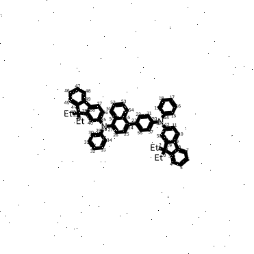 CCC1(CC)c2ccccc2-c2ccc(N(c3ccccc3)c3ccc(-c4ccc(N(c5ccccc5)c5ccc6c(c5)C(CC)(CC)c5ccccc5-6)c5ccccc45)cc3)cc21